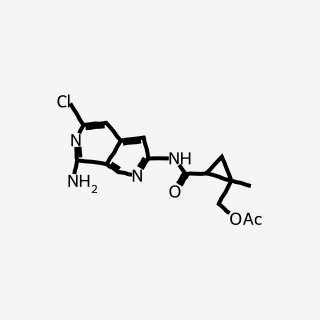 CC(=O)OCC1(C)CC1C(=O)Nc1cc2cc(Cl)nc(N)c2cn1